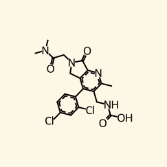 Cc1nc2c(c(-c3ccc(Cl)cc3Cl)c1CNC(=O)O)CN(CC(=O)N(C)C)C2=O